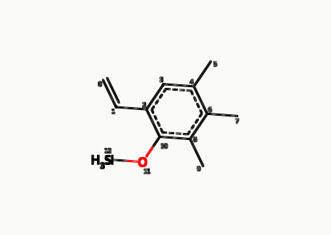 C=Cc1cc(C)c(C)c(C)c1O[SiH3]